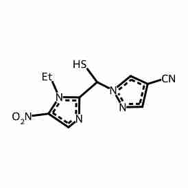 CCn1c([N+](=O)[O-])cnc1C(S)n1cc(C#N)cn1